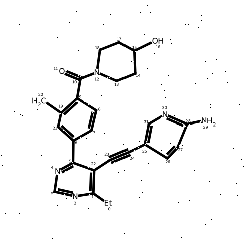 CCc1ncnc(-c2ccc(C(=O)N3CCC(O)CC3)c(C)c2)c1C#Cc1ccc(N)nc1